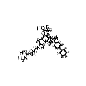 Cc1ccc(NS(=O)(=O)c2ccc(-c3ccccc3)cc2)c(=O)n1CC(=O)NCCONC(=N)N.O=C(O)C(F)(F)F